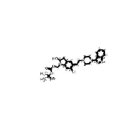 CCCC(C)(C)OC(=O)OCN1c2cc(Cl)c(CCN3CCN(c4nsc5ccccc45)CC3)cc2CC1O